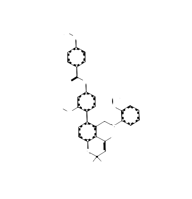 COc1ccc(C(=O)Oc2ccc(-c3ccc4c(c3CNc3ccccc3OC)C(C)=CC(C)(C)N4)c(OC)c2)cc1